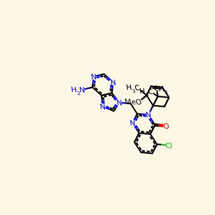 COC1(C)C=CC2CC1(n1c(Cn3cnc4c(N)ncnc43)nc3cccc(Cl)c3c1=O)C2(C)C